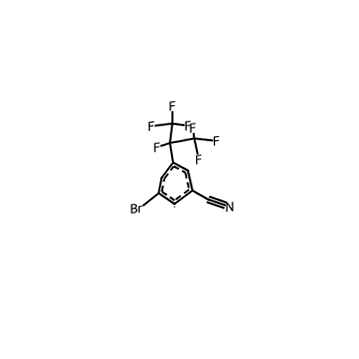 N#Cc1[c]c(Br)cc(C(F)(C(F)(F)F)C(F)(F)F)c1